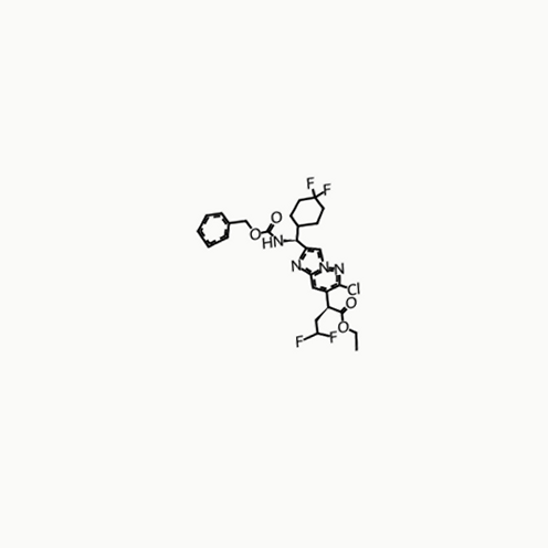 CCOC(=O)[C@@H](CC(F)F)c1cc2nc([C@@H](NC(=O)OCc3ccccc3)C3CCC(F)(F)CC3)cn2nc1Cl